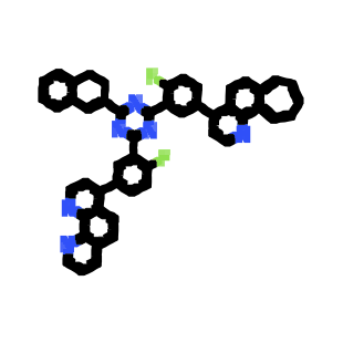 Fc1ccc(-c2ccnc3c4c(ccc23)=CC=CC=C=4)cc1-c1nc(C2=Cc3ccccc3CC2)nc(-c2cc(-c3ccnc4c3ccc3cccnc34)ccc2F)n1